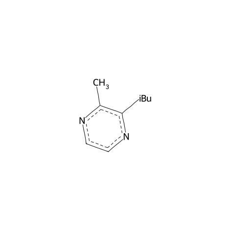 C[CH]C(C)c1nccnc1C